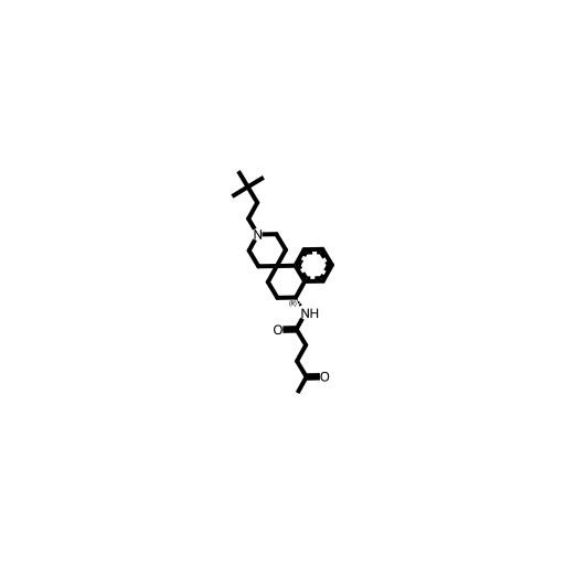 CC(=O)CCC(=O)N[C@@H]1CCC2(CCN(CCC(C)(C)C)CC2)c2ccccc21